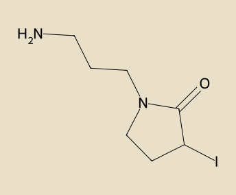 NCCCN1CCC(I)C1=O